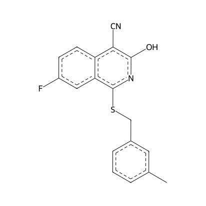 Cc1cccc(CSc2nc(O)c(C#N)c3ccc(F)cc23)c1